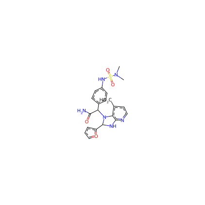 CN(C)S(=O)(=O)Nc1ccc(C(C(N)=O)N2c3c(C(=O)O)ccnc3NC2c2ccco2)cc1